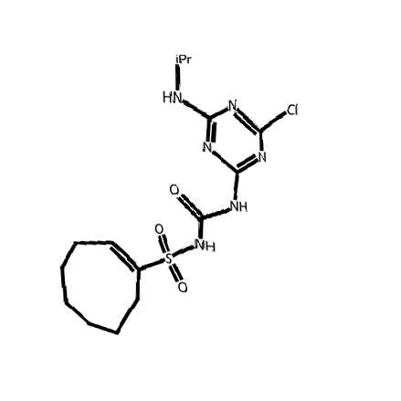 CC(C)Nc1nc(Cl)nc(NC(=O)NS(=O)(=O)C2=CCCCCCC2)n1